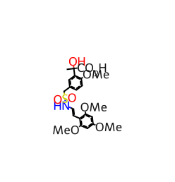 COc1cc(OC)c(C=CNS(=O)(=O)Cc2ccc(OC)c(C(C)(O)C(=O)O)c2)c(OC)c1